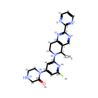 CC1c2cnc(-c3ncccn3)nc2CCN1c1cc(N2CCNCC2=O)cc(F)n1